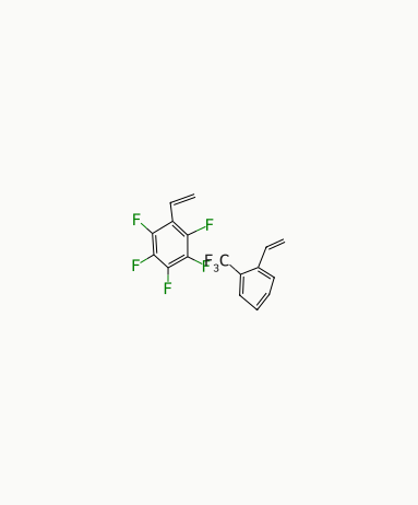 C=Cc1c(F)c(F)c(F)c(F)c1F.C=Cc1ccccc1C(F)(F)F